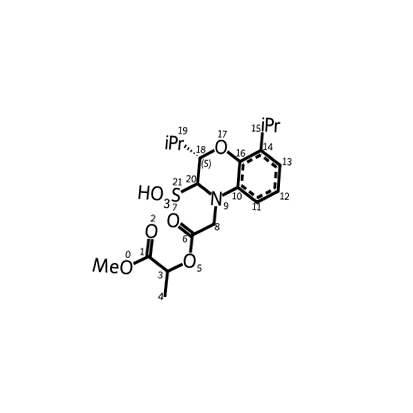 COC(=O)C(C)OC(=O)CN1c2cccc(C(C)C)c2O[C@@H](C(C)C)C1S(=O)(=O)O